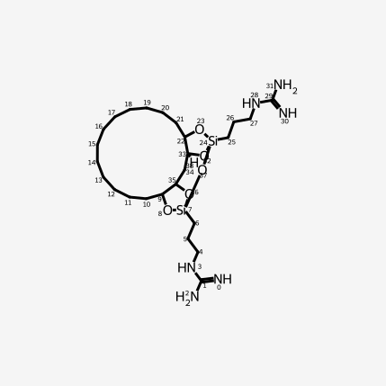 N=C(N)NCCC[Si]12OC3CCCCCCCCCCCCC4O[Si](CCCNC(=N)N)(O[C@@H]4CC3O1)O2